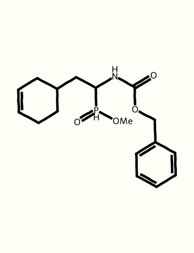 CO[PH](=O)C(CC1CC=CCC1)NC(=O)OCc1ccccc1